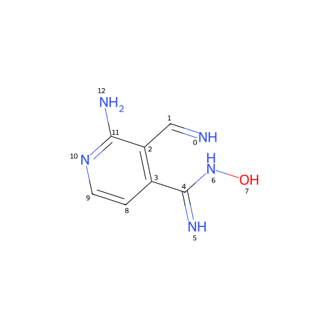 N=Cc1c(C(=N)NO)ccnc1N